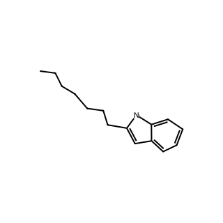 CCCCCCCC1=Cc2ccccc2[N]1